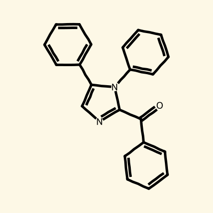 O=C(c1ccccc1)c1ncc(-c2ccccc2)n1-c1ccccc1